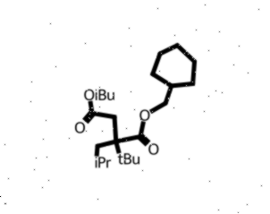 CC(C)COC(=O)CC(CC(C)C)(C(=O)OCC1CCCCC1)C(C)(C)C